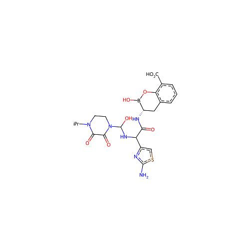 CC(C)N1CCN(C(O)NC(C(=O)N[C@H]2Cc3cccc(C(=O)O)c3OB2O)c2csc(N)n2)C(=O)C1=O